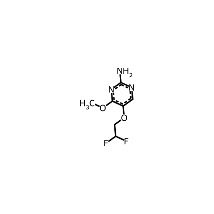 COc1nc(N)ncc1OCC(F)F